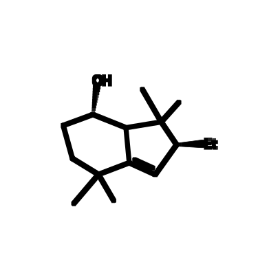 CC[C@H]1C=C2C([C@@H](O)CCC2(C)C)C1(C)C